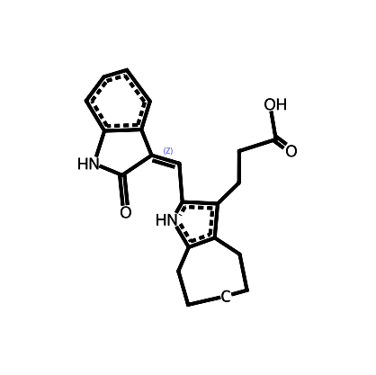 O=C(O)CCc1c(/C=C2\C(=O)Nc3ccccc32)[nH]c2c1CCCCC2